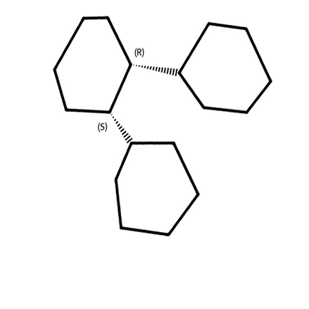 C1CCC([C@H]2CCCC[C@H]2C2CCCCC2)CC1